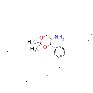 CC1(C)OC[C@H](N)[C@H](c2ccccc2)O1